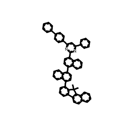 CC1(C)c2c(cccc2-c2ccc(-c3ccc(-c4nc(-c5ccccc5)cc(-c5ccc(-c6ccccc6)cc5)n4)c4ccccc34)c3ccccc23)-c2ccc3ccccc3c21